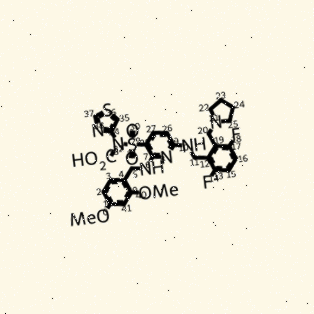 COc1ccc(CNc2nc(NCc3c(F)ccc(F)c3CN3CCCC3)ccc2S(=O)(=O)N(C(=O)O)c2cscn2)c(OC)c1